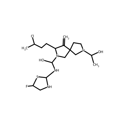 C=C1C(CCC(C)Cl)N(C(O)NC2NCC(F)S2)CC12CCN(C(C)O)C2